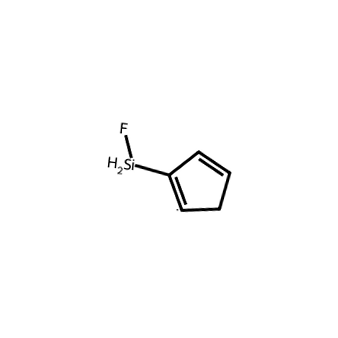 F[SiH2]C1=[C]CC=C1